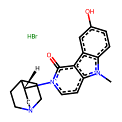 Br.Cn1c2ccc(O)cc2c2c(=O)n([C@@H]3CN4CCC3CC4)ccc21